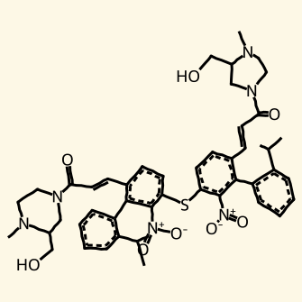 CC(C)c1ccccc1-c1c(/C=C/C(=O)N2CCN(C)C(CO)C2)ccc(Sc2ccc(/C=C/C(=O)N3CCN(C)C(CO)C3)c(-c3ccccc3C(C)C)c2[N+](=O)[O-])c1[N+](=O)[O-]